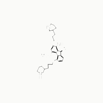 COc1cc(OCCCC2CCCNC2)c(N)c2c1-c1c(OCCCC3CCCNC3)cccc1C2=O